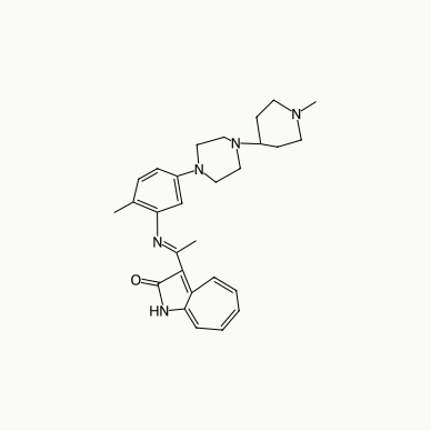 C/C(=N\c1cc(N2CCN(C3CCN(C)CC3)CC2)ccc1C)c1c2cccccc-2[nH]c1=O